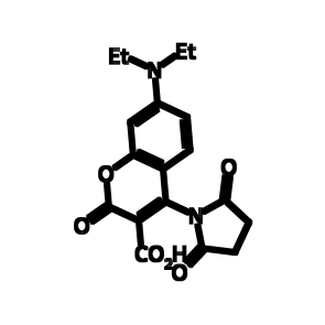 CCN(CC)c1ccc2c(N3C(=O)CCC3=O)c(C(=O)O)c(=O)oc2c1